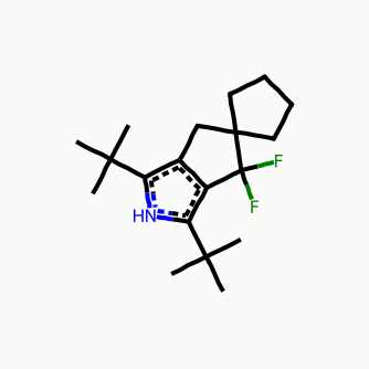 CC(C)(C)c1[nH]c(C(C)(C)C)c2c1CC1(CCCC1)C2(F)F